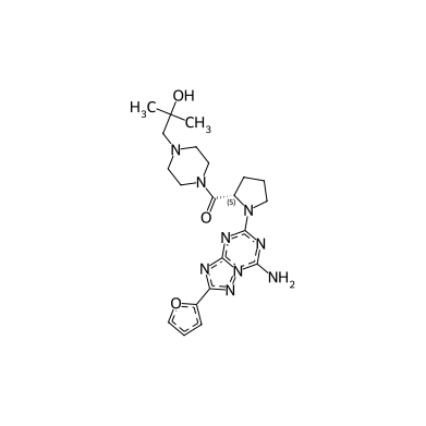 CC(C)(O)CN1CCN(C(=O)[C@@H]2CCCN2c2nc(N)n3nc(-c4ccco4)nc3n2)CC1